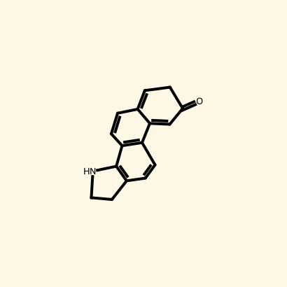 O=C1C=c2c(ccc3c4c(ccc23)CCN4)=CC1